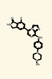 CC(C)N1CCN(c2ccc(Nc3ncc(-c4cc(F)c5c(c4)CNC5=O)n4ccnc34)cc2)CC1